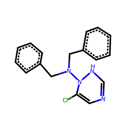 ClC1=CN=CNN1N(Cc1ccccc1)Cc1ccccc1